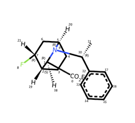 CCOC(=O)[C@H]1[C@@H]2CC[C@H](C[C@H]2F)N1[C@H](C)c1ccccc1